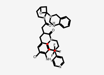 Nc1c(Cl)cc(CC(CC(=O)N2CCC3CC2(N2CNc4ccccc4C2)O3)C(=O)N2CCN(c3ccncc3)CC2)cc1C(F)(F)F